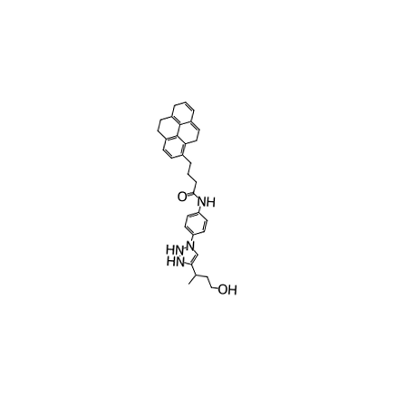 CC(CCO)C1=CN(c2ccc(NC(=O)CCCc3ccc4c5c3CC=C3C=CCC(=C35)CC4)cc2)NN1